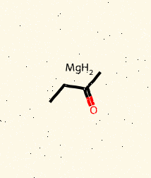 CCC(C)=O.[MgH2]